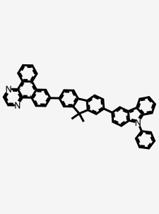 CC1(C)c2cc(-c3ccc4c(c3)c3ccccc3c3nccnc43)ccc2-c2ccc(-c3ccc4c(c3)c3ccccc3n4-c3ccccc3)cc21